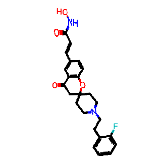 O=C(C=Cc1ccc2c(c1)C(=O)CC1(CCN(CCc3ccccc3F)CC1)O2)NO